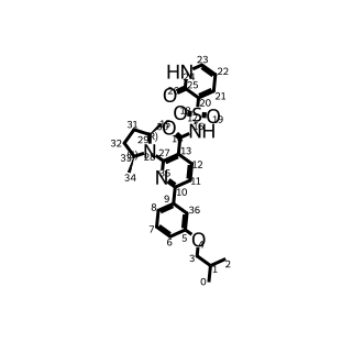 CC(C)COc1cccc(-c2ccc(C(=O)NS(=O)(=O)c3ccc[nH]c3=O)c(N3[C@H](C)CC[C@@H]3C)n2)c1